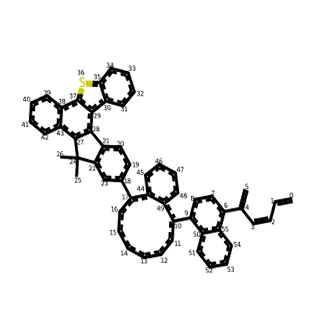 C=C/C=C\C(=C)c1ccc(-c2ccccccc(-c3ccc4c(c3)C(C)(C)c3c-4c4c5ccccc5sc4c4ccccc34)c3ccccc23)c2ccccc12